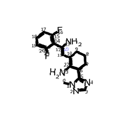 Cn1ncnc1C1CCCC(/C=C(\N)c2c(F)cccc2F)=C1N